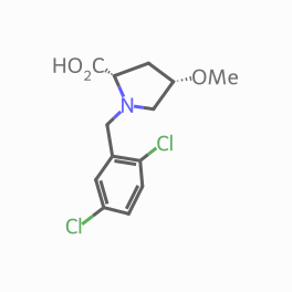 CO[C@H]1C[C@@H](C(=O)O)N(Cc2cc(Cl)ccc2Cl)C1